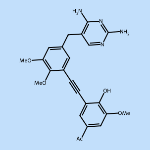 COc1cc(C(C)=O)cc(C#Cc2cc(Cc3cnc(N)nc3N)cc(OC)c2OC)c1O